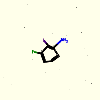 Nc1cccc(F)c1I